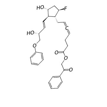 O=C(CCC=C=CC[C@@H]1[C@@H](/C=C/[C@@H](O)COc2ccccc2)[C@H](O)C[C@H]1F)OCC(=O)c1ccccc1